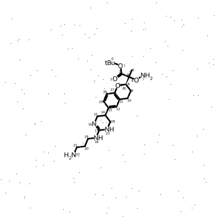 CC(C)(C)OC(=O)C(C)(ON)[C@H]1CCc2cc(C3CN=C(NCCCN)NC3)ccc2O1